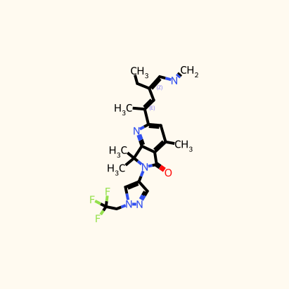 C=N/C=C(\C=C(/C)c1cc(C)c2c(n1)C(C)(C)N(c1cnn(CC(F)(F)F)c1)C2=O)CC